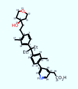 CCC(CC)(c1ccc(CCC2(O)CCOCC2)c(C)c1)c1ccc(-c2cncc(CC(=O)O)c2)c(C)c1